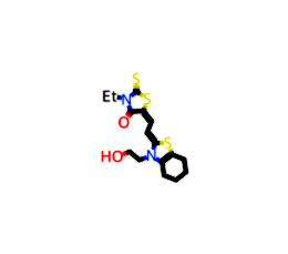 CCN1C(=O)C(=CC=C2SC3=C(CCCC3)N2CCO)SC1=S